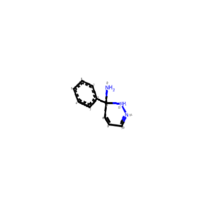 NC1(c2ccccc2)C=CC=NN1